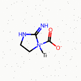 N=C1NCC[N+]1([Ti])C(=O)[O-]